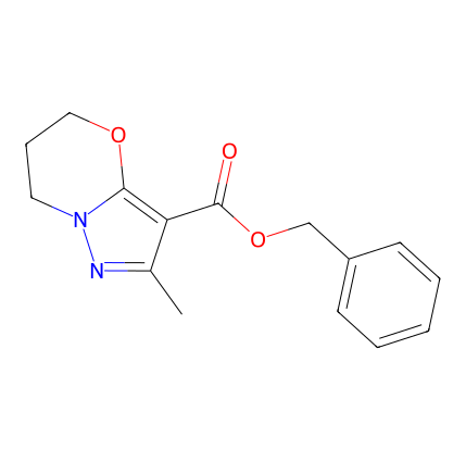 Cc1nn2c(c1C(=O)OCc1ccccc1)OCCC2